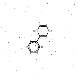 C1=CSC=C(c2ccccc2)O1